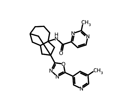 Cc1cncc(-c2nnc(C34CC5CCCC(NC(=O)c6ccnc(C)n6)(C3)C(C5)C4)o2)c1